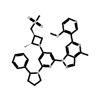 COc1ccncc1-c1cc2c(cnn2-c2cc(N3C[C@H](CS(C)(=O)=O)[C@H]3C)cc(N3CCCC3c3ccccc3)n2)c(C)n1